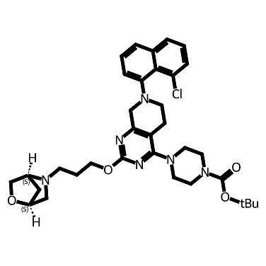 CC(C)(C)OC(=O)N1CCN(c2nc(OCCCN3C[C@@H]4C[C@H]3CO4)nc3c2CCN(c2cccc4cccc(Cl)c24)C3)CC1